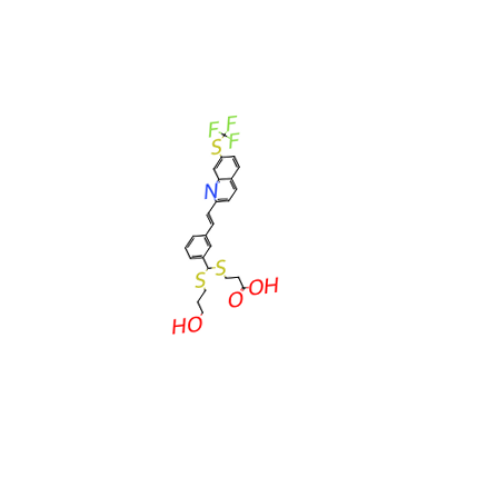 O=C(O)CCSC(SCCCO)c1cccc(/C=C/c2ccc3ccc(SC(F)(F)F)cc3n2)c1